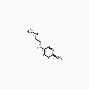 C=C1CC=C(OCCNC)C=N1